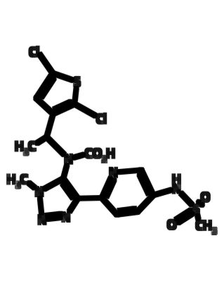 CC(c1cc(Cl)sc1Cl)N(C(=O)O)c1c(-c2ccc(NS(C)(=O)=O)cn2)nnn1C